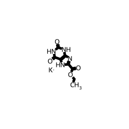 CCOC(=O)c1nc2[nH]c(=O)[nH]c(=O)c2[nH]1.[K]